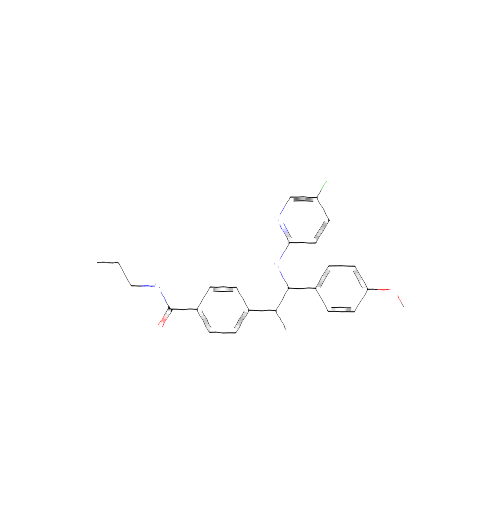 CCCC(c1ccc(C(=O)NCCC(=O)OCC)cc1)C(Nc1ccc(Cl)cn1)c1ccc(OC(F)(F)F)cc1